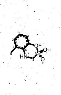 Cc1cccc2c1NCS(=O)(=O)O2